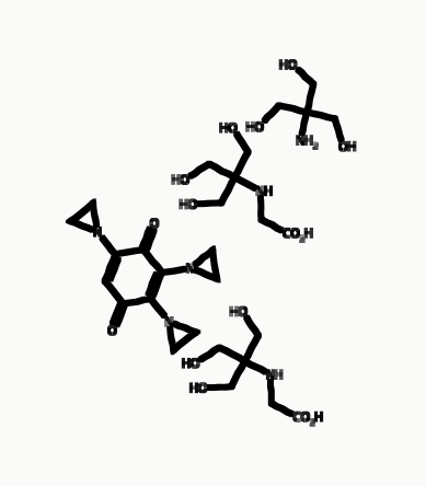 NC(CO)(CO)CO.O=C(O)CNC(CO)(CO)CO.O=C(O)CNC(CO)(CO)CO.O=C1C=C(N2CC2)C(=O)C(N2CC2)=C1N1CC1